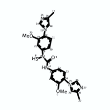 COc1cc(NC(=O)N(S)c2ccc(-n3cnc(C)c3)c(OC)c2)ccc1-n1cnc(C)c1